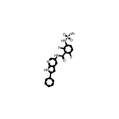 CCCS(=O)(=O)Nc1ccc(F)c(C(=O)Nc2cnc3[nH]c(-c4ccccc4)cc3c2)c1F